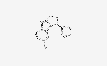 Brc1ccc2nc3n(c2c1)[C@H](c1ccccc1)CC3